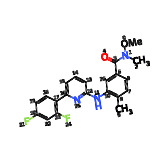 CON(C)C(=O)c1ccc(C)c(Nc2cccc(-c3ccc(F)cc3F)n2)c1